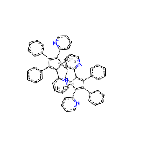 C[Si]1(CC[Si]2(C)C(c3ccccn3)=C(c3ccccc3)C(c3ccccc3)=C2c2ccccn2)C(c2ccccn2)=C(c2ccccc2)C(c2ccccc2)=C1c1ccccn1